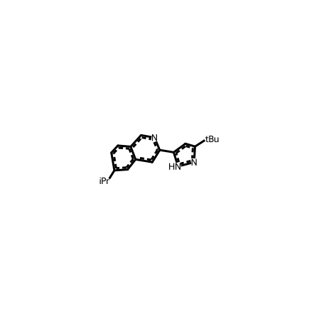 CC(C)c1ccc2cnc(-c3cc(C(C)(C)C)n[nH]3)cc2c1